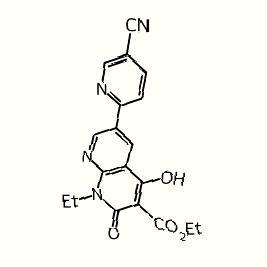 CCOC(=O)c1c(O)c2cc(-c3ccc(C#N)cn3)cnc2n(CC)c1=O